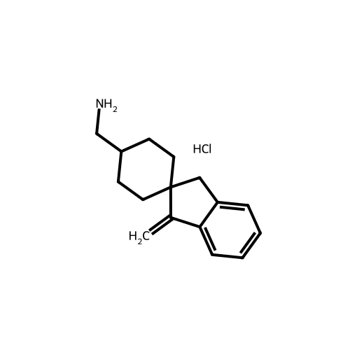 C=C1c2ccccc2CC12CCC(CN)CC2.Cl